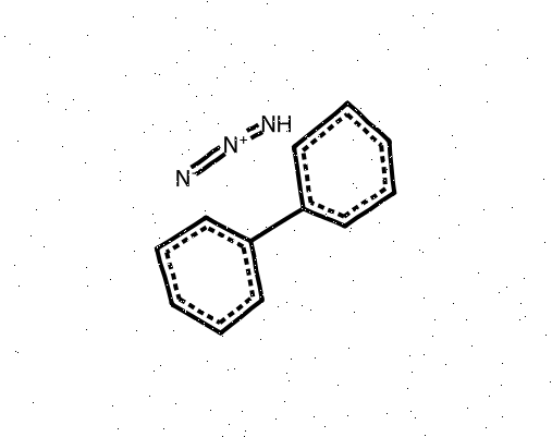 [N-]=[N+]=N.c1ccc(-c2ccccc2)cc1